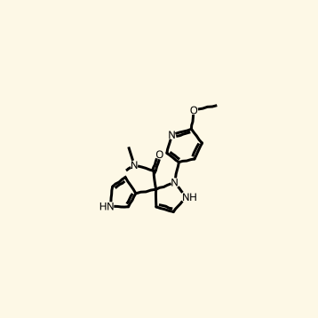 COc1ccc(N2NC=CC2(C(=O)N(C)C)c2cc[nH]c2)cn1